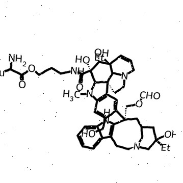 CCC1(O)CC2C[N@](CCc3c([nH]c4ccccc34)[C@@](COC=O)(c3cc4c(cc3CO)N(C)C3[C@]45CCN4CC=C[C@](CC)(C45)[C@@H](O)[C@]3(O)C(=O)NCCCOC(=O)C(N)C(C)(C)C)C2)C1